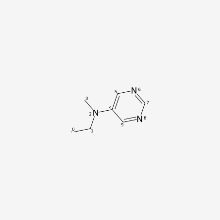 [CH2]CN(C)c1cncnc1